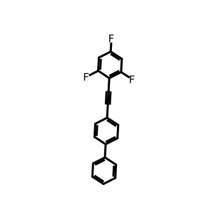 Fc1cc(F)c(C#Cc2ccc(-c3ccccc3)cc2)c(F)c1